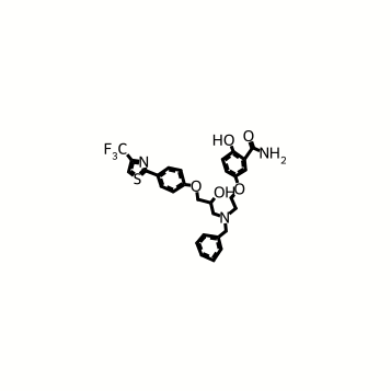 NC(=O)c1cc(OCCN(Cc2ccccc2)CC(O)COc2ccc(-c3nc(C(F)(F)F)cs3)cc2)ccc1O